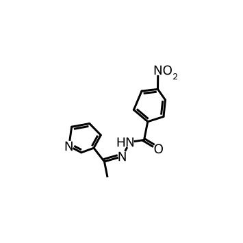 CC(=NNC(=O)c1ccc([N+](=O)[O-])cc1)c1cccnc1